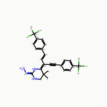 CC1(C)CNC(=NN)NC1=C(C#Cc1ccc(C(F)(F)F)cc1)C=Cc1ccc(C(F)(F)F)cc1